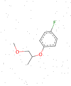 [CH2]C(COC)Oc1ccc(F)cc1